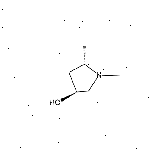 C[C@H]1C[C@H](O)CN1C